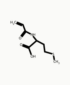 C=CC(=O)NC(CCSC)C(=O)O